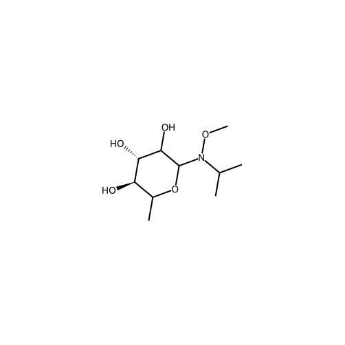 CON(C(C)C)C1OC(C)[C@@H](O)[C@H](O)C1O